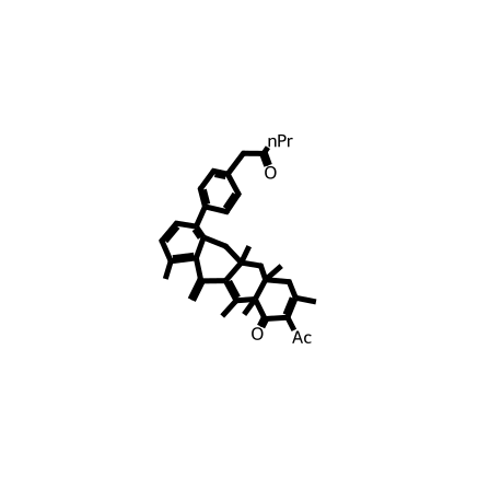 C=C1C2=C(C)C3(C)C(=O)C(C(C)=O)=C(C)CC3(C)CC2(C)Cc2c(-c3ccc(CC(=O)CCC)cc3)ccc(C)c21